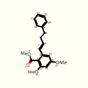 COC(=O)c1c(/C=C/CCc2ccccc2)cc(OC)cc1OC